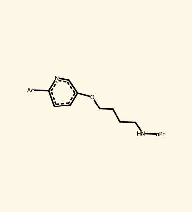 CCCNCCCCOc1ccc(C(C)=O)nc1